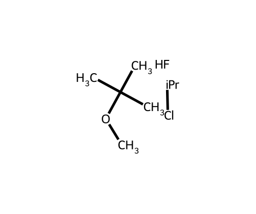 CC(C)Cl.COC(C)(C)C.F